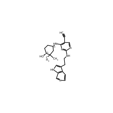 C#Cc1cnc(NCCc2c[nH]c3cnccc23)nc1N[C@@H]1CC[C@H](O)C(C)(C)C1